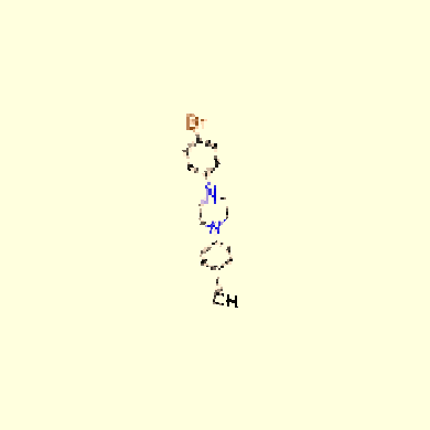 C#Cc1ccc(N2CCN(c3ccc(Br)cc3)CC2)cc1